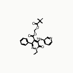 CCn1nc(-c2ccccc2)c(C(=O)OCOC(=O)C(C)(C)C)c(Nc2cccnc2)c1=O